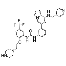 O=C(Nc1cccc(-c2cn3ccnc3c(NCc3ccncc3)n2)c1)Nc1cc(C(F)(F)F)ccc1OCCN1CCNCC1